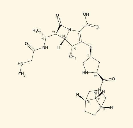 CNCC(=O)N[C@H](C)[C@H]1C(=O)N2C(C(=O)O)=C(S[C@@H]3CN[C@H](C(=O)N4C[C@H]5CC[C@@H](C4)[C@H]5N)C3)[C@H](C)[C@H]12